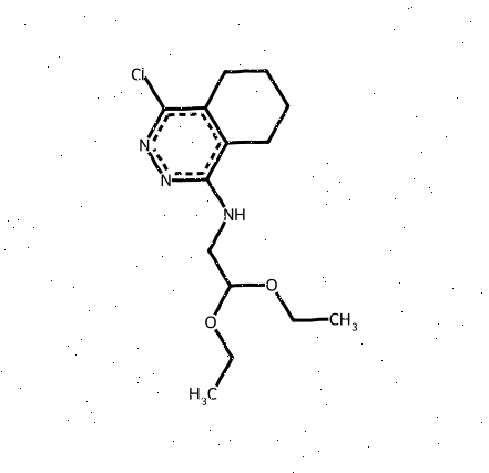 CCOC(CNc1nnc(Cl)c2c1CCCC2)OCC